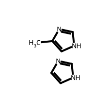 Cc1c[nH]cn1.c1c[nH]cn1